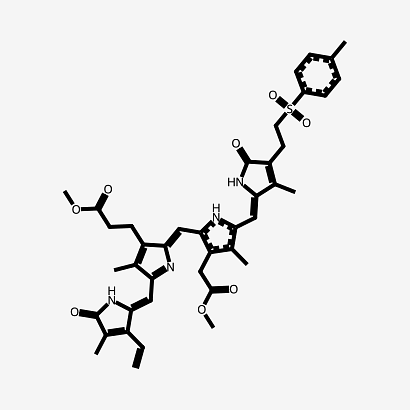 C=CC1=C(C)C(=O)N/C1=C\C1=NC(=C\c2[nH]c(/C=C3\NC(=O)C(CCS(=O)(=O)c4ccc(C)cc4)=C3C)c(C)c2CC(=O)OC)/C(CCC(=O)OC)=C1C